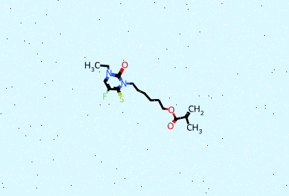 C=C(C)C(=O)OCCCCCCn1c(=S)c(F)cn(CC)c1=O